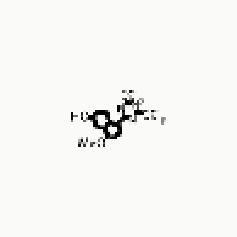 COc1ccc(-c2nc(C(Cl)(Cl)Cl)nc(C(Cl)(Cl)Cl)n2)c2ccc(O)cc12